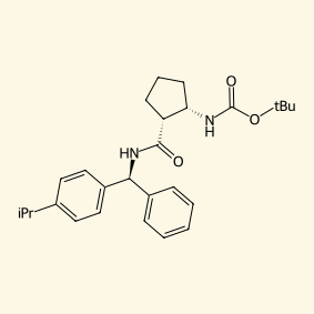 CC(C)c1ccc([C@@H](NC(=O)[C@@H]2CCC[C@@H]2NC(=O)OC(C)(C)C)c2ccccc2)cc1